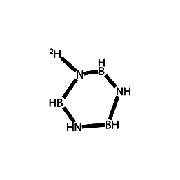 [2H]N1BNBNB1